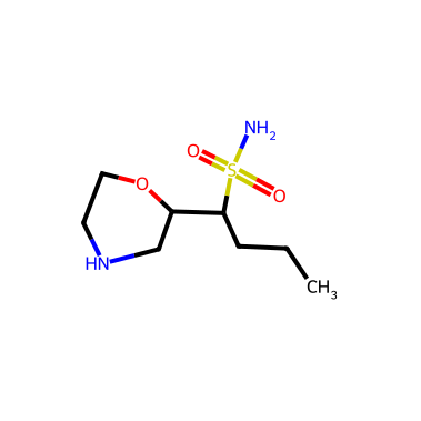 CCCC(C1CNCCO1)S(N)(=O)=O